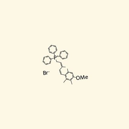 COc1cc(C)c(/C=C\C(C)=C/C[P+](c2ccccc2)(c2ccccc2)c2ccccc2)c(C)c1C.[Br-]